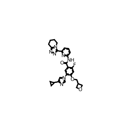 O=C(Nc1cccc(-c2nnc3n2CCCC3)n1)c1cc(-n2cnc(C3CC3)c2)c(OCC2COC2)cc1F